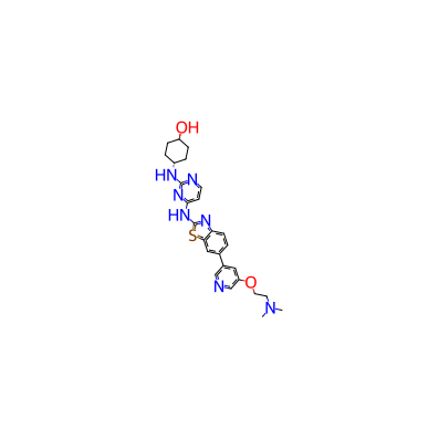 CN(C)CCOc1cncc(-c2ccc3nc(Nc4ccnc(N[C@H]5CC[C@H](O)CC5)n4)sc3c2)c1